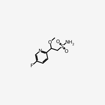 COC(CS(N)(=O)=O)c1ccc(F)cn1